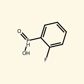 O=[PH](O)c1ccccc1F